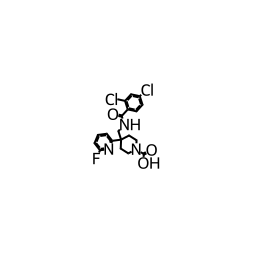 O=C(NCC1(c2cccc(F)n2)CCN(C(=O)O)CC1)c1ccc(Cl)cc1Cl